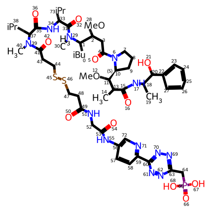 CCC(C)C(C(CC(=O)N1CCC[C@H]1C(OC)C(C)C(=O)NC(C)C(O)c1ccccc1)OC)N(C)C(=O)C(NC(=O)C(C(C)C)N(C)C(=O)CCSSCCC(=O)NCC(=O)Nc1ccc(-c2nnc(CP(=O)(O)O)nn2)nc1)C(C)C